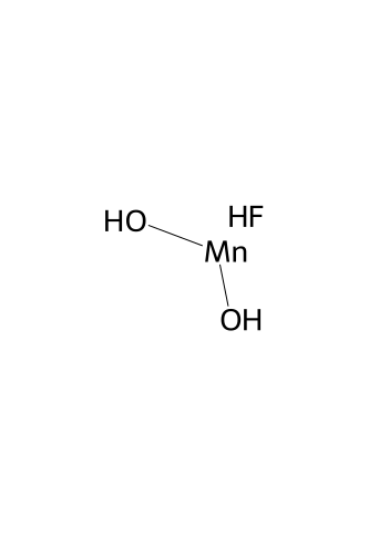 F.[OH][Mn][OH]